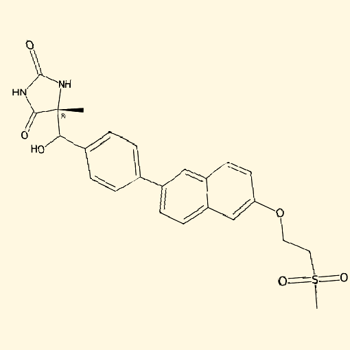 C[C@]1(C(O)c2ccc(-c3ccc4cc(OCCS(C)(=O)=O)ccc4c3)cc2)NC(=O)NC1=O